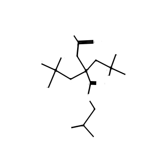 CC(C)COC(=O)C(CC(=O)O)(CC(C)(C)C)CC(C)(C)C